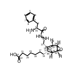 N[C@@H](Cc1ccccc1)C(=O)NNC[C@H]1[C@@H](CCCCCCC(=O)O)[C@@H]2O[C@H]1[C@@H]1O[C@@H]12